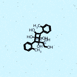 Cc1ccccc1C1C(O)[C@@]2(O)C(c3ccccc3C)[C@@](O)([C@H](O)CO)[C@@]12O